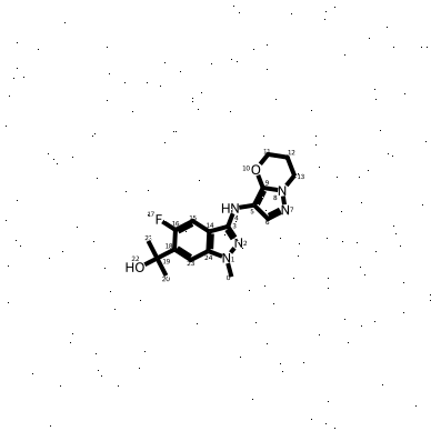 Cn1nc(Nc2cnn3c2OCCC3)c2cc(F)c(C(C)(C)O)cc21